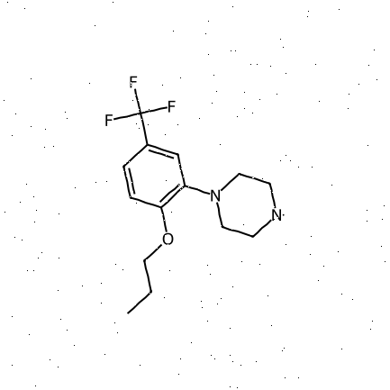 CCCOc1ccc(C(F)(F)F)cc1N1CC[N]CC1